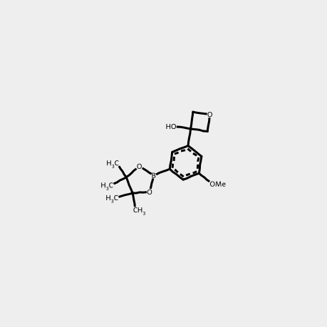 COc1cc(B2OC(C)(C)C(C)(C)O2)cc(C2(O)COC2)c1